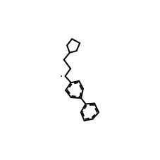 [CH](CCC1CCCC1)c1ccc(-c2ccccc2)cc1